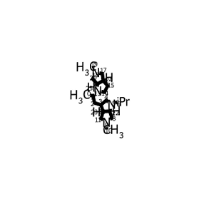 CC(CC1CN(C(C)C)[C@H]2CN(C)C[C@@H]12)N1CC[C@H]2CN(C)C[C@H]21